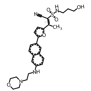 C/C(=C(/C#N)S(=O)(=O)NCCCO)c1ccc(-c2ccc3cc(NCCN4CCOCC4)ccc3c2)o1